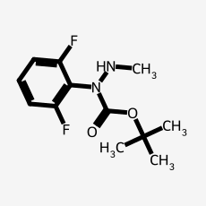 CNN(C(=O)OC(C)(C)C)c1c(F)cccc1F